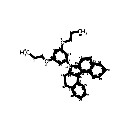 CCCOc1cc(OCCC)cc(-n2c3c(c4c5ccccc5ccc42)-c2ccccc2CC3)c1